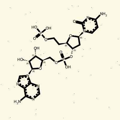 Nc1ccn([C@H]2C[C@H](OP(=O)(O)OC[C@H]3O[C@@H](n4cnc5c(N)ncnc54)[C@H](O)[C@@H]3O)[C@@H](CCOP(=O)(O)O)O2)c(=O)n1